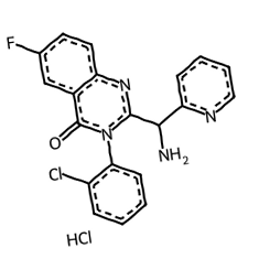 Cl.NC(c1ccccn1)c1nc2ccc(F)cc2c(=O)n1-c1ccccc1Cl